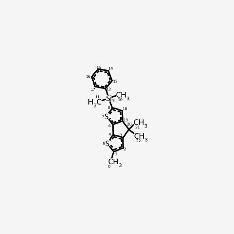 Cc1cc2c(s1)-c1sc([Si](C)(C)c3ccccc3)cc1C2(C)C